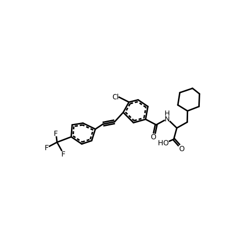 O=C(NC(CC1CCCCC1)C(=O)O)c1ccc(Cl)c(C#Cc2ccc(C(F)(F)F)cc2)c1